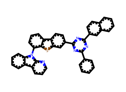 c1ccc(-c2nc(-c3ccc4ccccc4c3)nc(-c3ccc4c(c3)sc3c(-n5c6ccccc6c6cccnc65)cccc34)n2)cc1